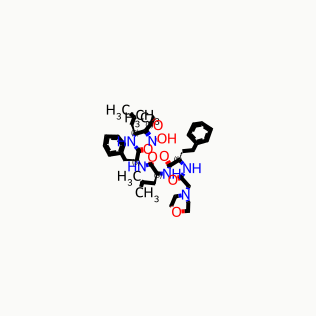 CC(C)C[C@H](NC(=O)[C@H](CCc1ccccc1)NC(=O)CN1CCOCC1)C(=O)N[C@@H](Cc1ccccc1)C(=O)N[C@@H](CC(C)C)C(=NO)[C@@]1(C)CO1